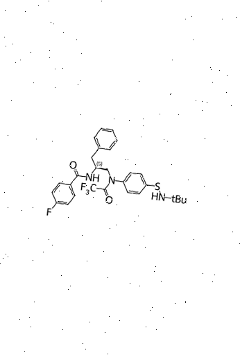 CC(C)(C)NSc1ccc(N(C[C@H](Cc2ccccc2)NC(=O)c2ccc(F)cc2)C(=O)C(F)(F)F)cc1